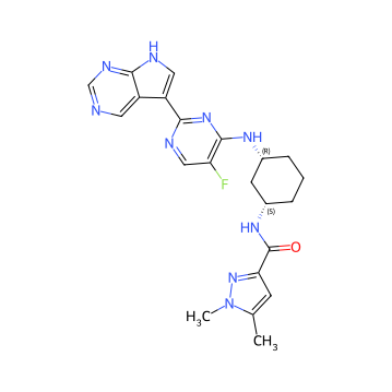 Cc1cc(C(=O)N[C@H]2CCC[C@@H](Nc3nc(-c4c[nH]c5ncncc45)ncc3F)C2)nn1C